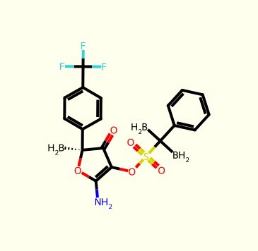 BC(B)(c1ccccc1)S(=O)(=O)OC1=C(N)O[C@@](B)(c2ccc(C(F)(F)F)cc2)C1=O